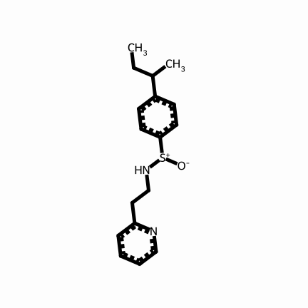 CCC(C)c1ccc([S+]([O-])NCCc2ccccn2)cc1